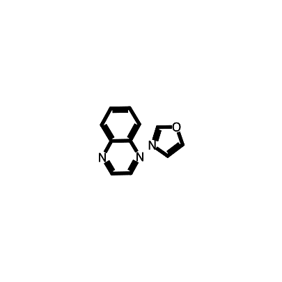 c1ccc2nccnc2c1.c1cocn1